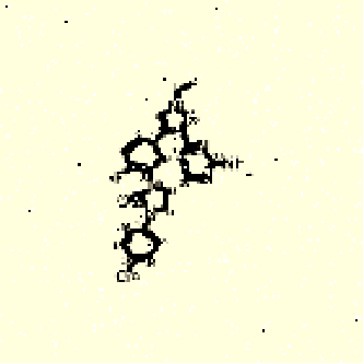 CCn1cc(C2C=CC(F)=C(N3CCN(c4ccc(Cl)cc4)C3=O)C2)c(-c2ccnc(N)n2)n1